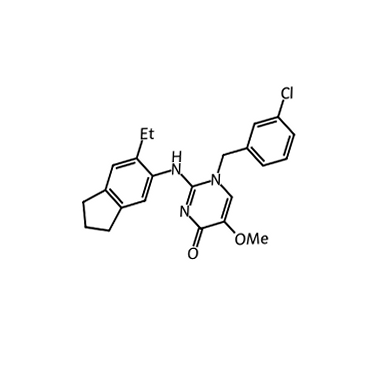 CCc1cc2c(cc1Nc1nc(=O)c(OC)cn1Cc1cccc(Cl)c1)CCC2